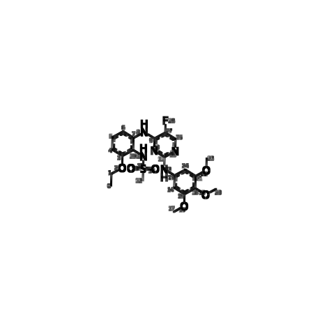 CCOc1cccc(Nc2nc(Nc3cc(OC)c(OC)c(OC)c3)ncc2F)c1NS(C)(=O)=O